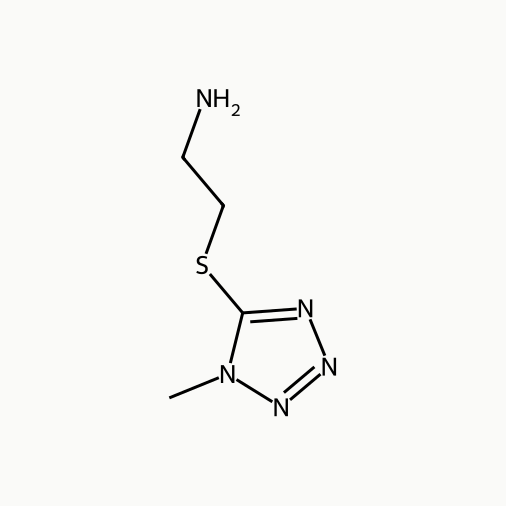 Cn1nnnc1SCCN